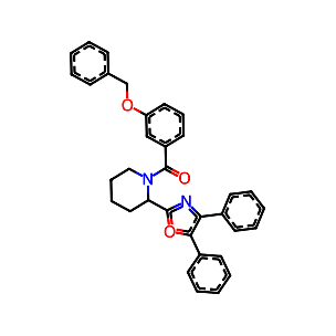 O=C(c1cccc(OCc2ccccc2)c1)N1CCCCC1c1nc(-c2ccccc2)c(-c2ccccc2)o1